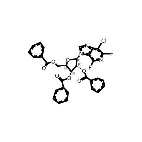 O=C(OC[C@H]1O[C@@H](n2cnc3c(Cl)c(F)nc(F)c32)[C@H](OC(=O)c2ccccc2)[C@@H]1OC(=O)c1ccccc1)c1ccccc1